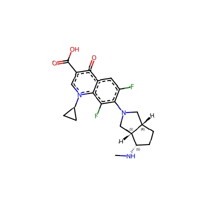 CN[C@H]1CC[C@H]2CN(c3c(F)cc4c(=O)c(C(=O)O)cn(C5CC5)c4c3F)C[C@H]21